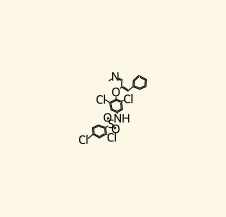 C/N=C\C(=C/c1ccccc1)Oc1c(Cl)cc(NS(=O)(=O)c2ccc(Cl)cc2Cl)cc1Cl